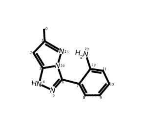 Cc1cc2[nH]nc(-c3ccccc3N)n2n1